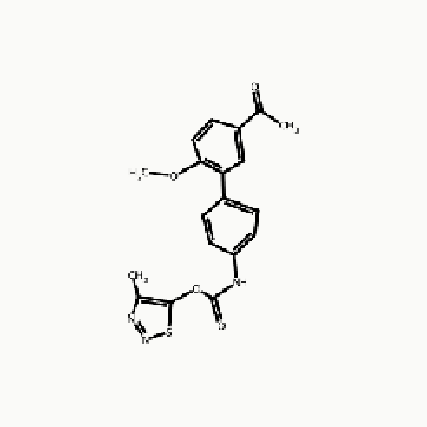 COc1ccc(C(C)=O)cc1-c1ccc(NC(=O)Oc2snnc2C)cc1